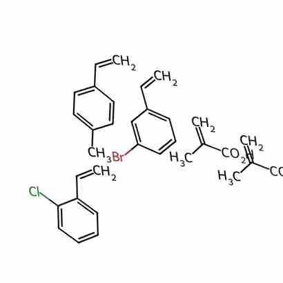 C=C(C)C(=O)O.C=C(C)C(=O)O.C=Cc1ccc(C)cc1.C=Cc1cccc(Br)c1.C=Cc1ccccc1Cl